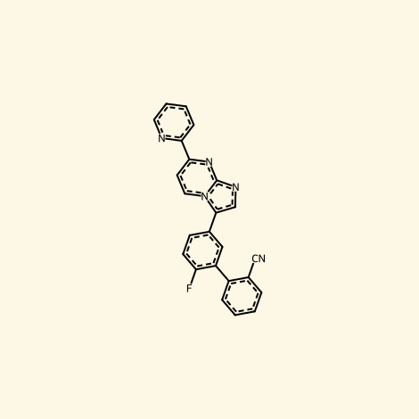 N#Cc1ccccc1-c1cc(-c2cnc3nc(-c4ccccn4)ccn23)ccc1F